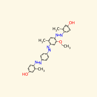 CCOc1cc(/N=N/c2ccc(N=Nc3ccc(O)cc3C)cc2)c(C)cc1N=Nc1ccc(O)cc1C